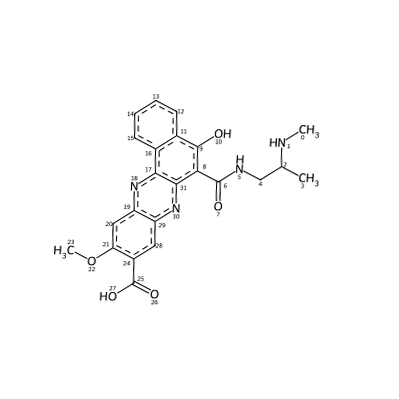 CNC(C)CNC(=O)c1c(O)c2ccccc2c2nc3cc(OC)c(C(=O)O)cc3nc12